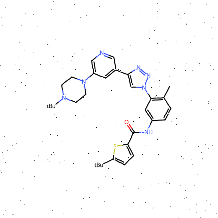 Cc1ccc(NC(=O)c2ccc(C(C)(C)C)s2)cc1-n1cc(-c2cncc(N3CCN(C(C)(C)C)CC3)c2)nn1